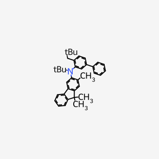 Cc1cc2c(cc1N(c1cc(-c3ccccc3)ccc1CC(C)(C)C)C(C)(C)C)-c1ccccc1C2(C)C